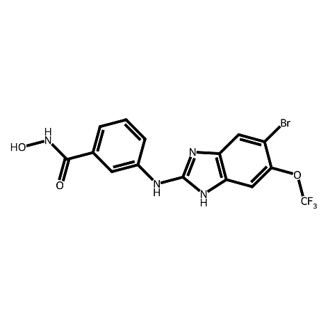 O=C(NO)c1cccc(Nc2nc3cc(Br)c(OC(F)(F)F)cc3[nH]2)c1